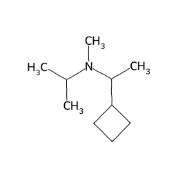 CC(C)N(C)C(C)C1CCC1